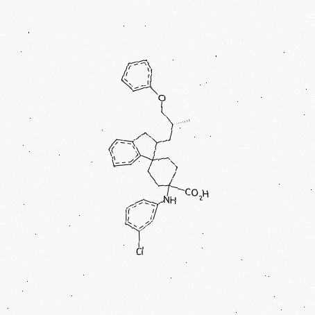 C[C@@H](COc1ccccc1)CC1Cc2ccccc2C12CCC(Nc1cccc(Cl)c1)(C(=O)O)CC2